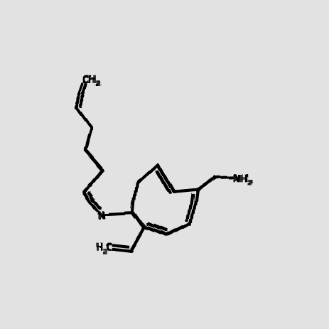 C=CCCC/C=N\C1C/C=C/C(CN)=C\C=C/1C=C